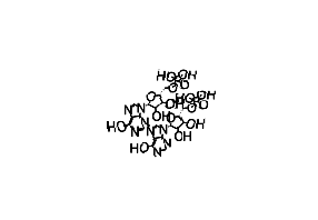 O=P(O)(O)OC[C@H]1O[C@@H](n2cnc3c(O)ncnc32)[C@H](O)[C@@H]1O.O=P(O)(O)OC[C@H]1O[C@@H](n2cnc3c(O)ncnc32)[C@H](O)[C@@H]1O